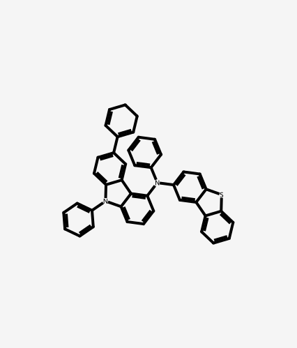 C1=CC(c2ccc3c(c2)c2c(N(c4ccccc4)c4ccc5sc6ccccc6c5c4)cccc2n3-c2ccccc2)=CCC1